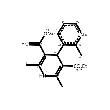 CCOC(=O)C1=C(C)NC(C)=C(C(=O)OC)C1c1cccnc1C